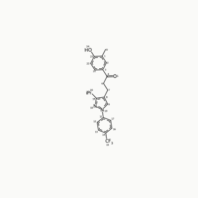 Cc1cc(C(=O)CCc2cn(-c3ccc(C(F)(F)F)cc3)nc2C(C)C)ccc1O